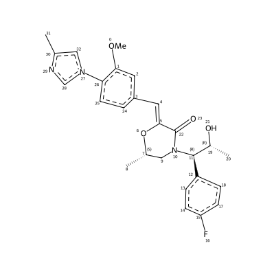 COc1cc(C=C2O[C@@H](C)CN([C@H](c3ccc(F)cc3)[C@@H](C)O)C2=O)ccc1-n1cnc(C)c1